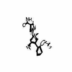 Cc1ccccc1-c1cnc(-n2cc(C(N)=O)cn2)cc1C#N